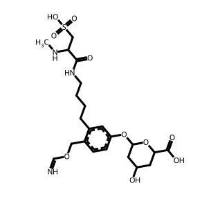 CNC(CS(=O)(=O)O)C(=O)NCCCCc1cc(OC2CC(O)CC(C(=O)O)O2)ccc1COC=N